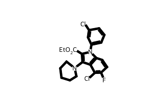 CCOC(=O)c1c(N2CCCCC2)c2c(Cl)c(F)ccc2n1-c1cccc(Cl)c1